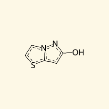 Oc1cc2sccn2n1